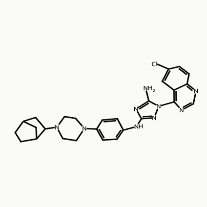 Nc1nc(Nc2ccc(N3CCN(C4CC5CCC4C5)CC3)cc2)nn1-c1ncnc2ccc(Cl)cc12